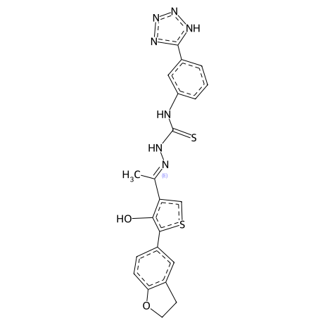 C/C(=N\NC(=S)Nc1cccc(-c2nnn[nH]2)c1)c1csc(-c2ccc3c(c2)CCO3)c1O